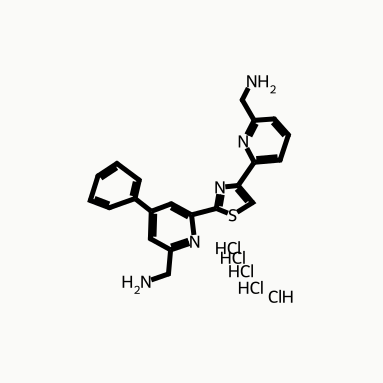 Cl.Cl.Cl.Cl.Cl.NCc1cccc(-c2csc(-c3cc(-c4ccccc4)cc(CN)n3)n2)n1